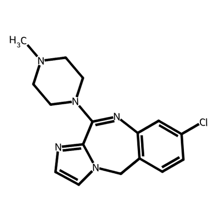 CN1CCN(C2=Nc3cc(Cl)ccc3Cn3ccnc32)CC1